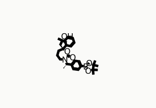 C[C@@H](c1ccc(B2OC(C)(C)C(C)(C)O2)cc1)N1CCC[C@](CC(C)(C)O)(C2C=CC=CC2)OC1=O